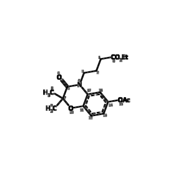 CCOC(=O)CCCN1C(=O)C(C)(C)Oc2ccc(OC(C)=O)cc21